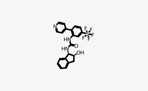 O=C(Nc1cc(S(F)(F)(F)(F)F)ccc1-c1ccncc1)N[C@@H]1c2ccccc2C[C@@H]1O